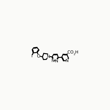 O=C(O)c1cncc(-c2ccc(N3CCC(Oc4ccccc4I)CC3)nn2)c1